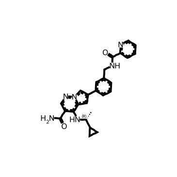 C[C@@H](Nc1c(C(N)=O)cnn2cc(-c3cccc(CNC(=O)c4ccccn4)c3)cc12)C1CC1